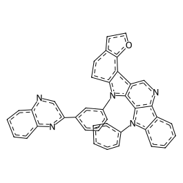 c1ccc(-n2c3ccccc3c3ncc4c5c6occc6ccc5n(-c5cccc(-c6cnc7ccccc7n6)c5)c4c32)cc1